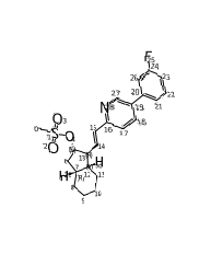 CS(=O)(=O)O[C@H]1C[C@H]2CCCC[C@H]2[C@@H]1C=Cc1ccc(-c2cccc(F)c2)cn1